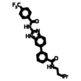 CC(C)CCNC(=O)c1cccc(-c2ccc3nc(NC(=O)c4ccc(C(F)(F)F)cc4)[nH]c3c2)c1